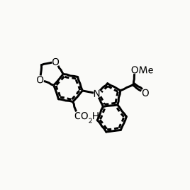 COC(=O)c1cn(-c2cc3c(cc2C(=O)O)OCO3)c2ccccc12